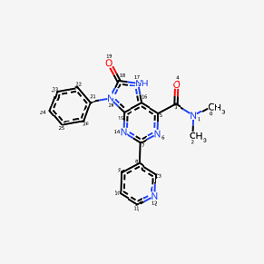 CN(C)C(=O)c1nc(-c2cccnc2)nc2c1[nH]c(=O)n2-c1ccccc1